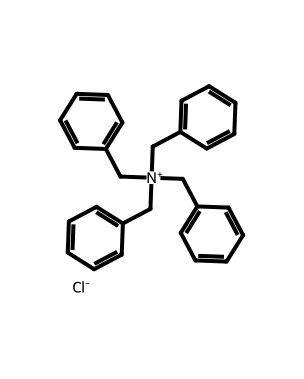 [Cl-].c1ccc(C[N+](Cc2ccccc2)(Cc2ccccc2)Cc2ccccc2)cc1